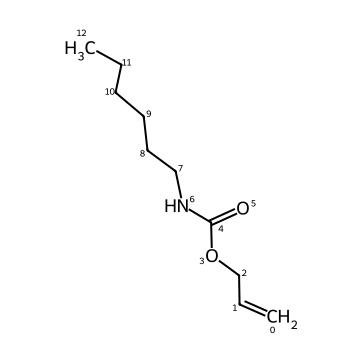 C=CCOC(=O)NCCCCCC